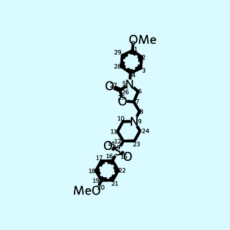 COc1ccc(N2CC(CN3CCC(S(=O)(=O)c4ccc(OC)cc4)CC3)OC2=O)cc1